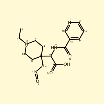 CCN1CCC(SN=O)(C(NC(=O)c2cccnc2)C(=O)O)CC1